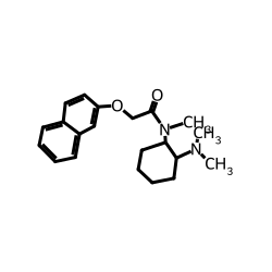 CN(C)C1CCCCC1N(C)C(=O)COc1ccc2ccccc2c1